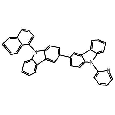 c1ccc(-n2c3ccccc3c3cc(-c4ccc5c(c4)c4ccccc4n5-c4cccc5ccccc45)ccc32)nc1